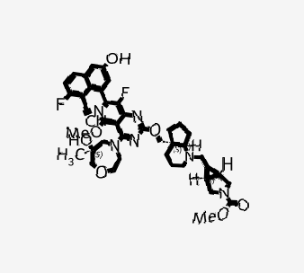 C#Cc1c(F)ccc2cc(O)cc(-c3nc(OC)c4c(N5CCOC[C@@](C)(O)C5)nc(OC[C@]56CCC[C@H]5N(CC5[C@H]7CN(C(=O)OC)C[C@@H]57)CCC6)nc4c3F)c12